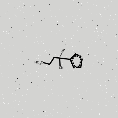 CC(C)[C@](C#N)(CCC(=O)O)c1ccsc1